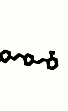 N#Cc1cccc(/C=C/c2ccc(/C=C/c3ccccc3C#N)cc2)c1